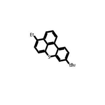 CCc1ccc2c3c(cccc13)-c1ccc(C(C)(C)C)cc1S2